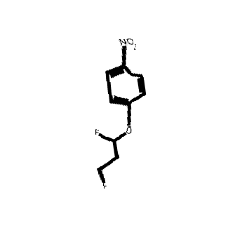 O=[N+]([O-])c1ccc(OC(F)CCF)cc1